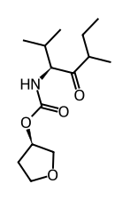 CCC(C)C(=O)[C@@H](NC(=O)O[C@@H]1CCOC1)C(C)C